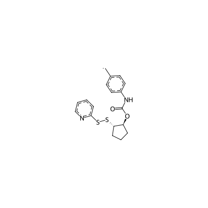 [CH2]c1ccc(NC(=O)O[C@H]2CCC[C@@H]2SSc2ccccn2)cc1